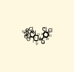 C[C@@H]1Cc2c(nc(Cl)n(S(C)(=O)=O)c2=O)CN1C(=O)c1ccc(Cl)c(Cl)c1